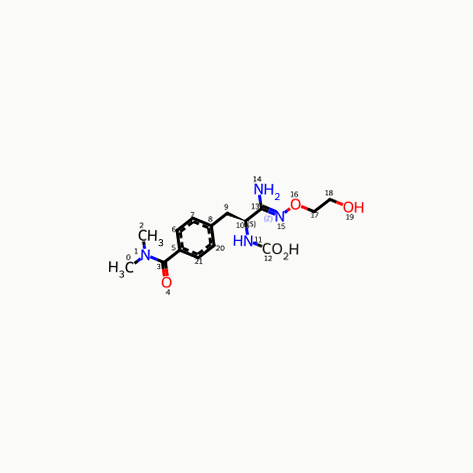 CN(C)C(=O)c1ccc(C[C@H](NC(=O)O)/C(N)=N/OCCO)cc1